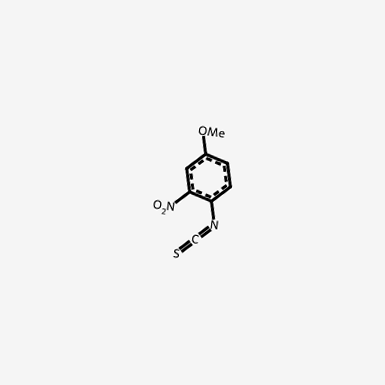 COc1ccc(N=C=S)c([N+](=O)[O-])c1